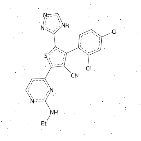 CCNc1nccc(-c2sc(-c3nnc[nH]3)c(-c3ccc(Cl)cc3Cl)c2C#N)n1